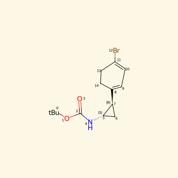 CC(C)(C)OC(=O)N[C@H]1C[C@@H]1C1=CC=C(Br)CC1